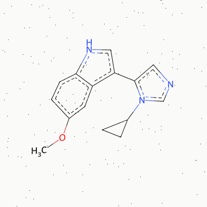 COc1ccc2[nH]cc(-c3cncn3C3CC3)c2c1